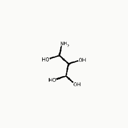 NC(O)C(O)C(O)O